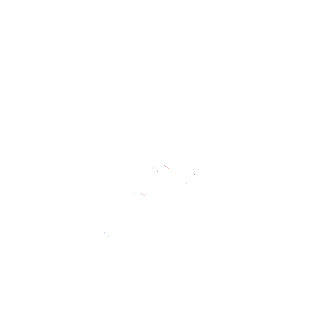 CCOCCOCCOCCC(=O)NCCC(=O)OCCCCN.O=C(O)C(F)(F)F